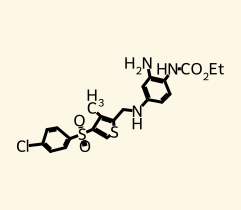 CCOC(=O)Nc1ccc(NCc2scc(S(=O)(=O)c3ccc(Cl)cc3)c2C)cc1N